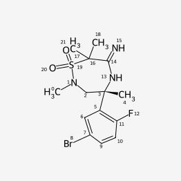 CN1C[C@@](C)(c2cc(Br)ccc2F)NC(=N)C(C)(C)S1(=O)=O